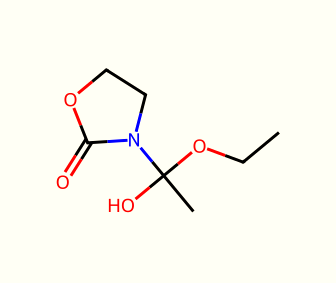 CCOC(C)(O)N1CCOC1=O